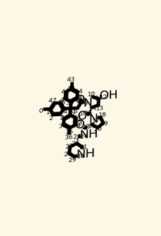 Cc1ccc(C(CC(=O)N2C[C@H](O)C[C@H]2C(=O)N2CCC[C@@H]2C(=O)NC[C@H]2CCCNC2)(c2ccc(C)cc2)c2ccc(C)cc2)cc1